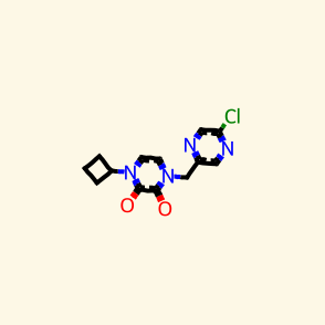 O=c1c(=O)n(C2CCC2)ccn1Cc1cnc(Cl)cn1